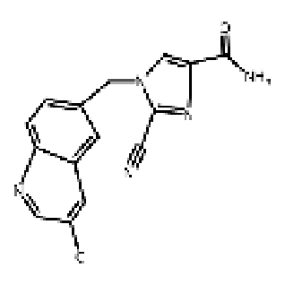 N#Cc1nc(C(N)=O)cn1Cc1ccc2ncc(Cl)cc2c1